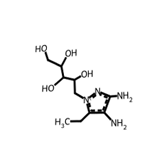 CCc1c(N)c(N)nn1CC(O)C(O)C(O)CO